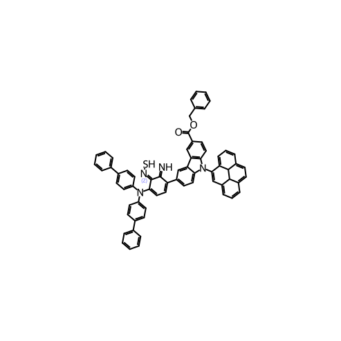 N=C1C(c2ccc3c(c2)c2cc(C(=O)OCc4ccccc4)ccc2n3C2=CC3=CC=CC4=CC=C5C=CC=C2C5C43)=CC=C(N(c2ccc(-c3ccccc3)cc2)c2ccc(-c3ccccc3)cc2)/C1=N/S